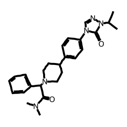 CC(C)n1ncn(-c2ccc(C3CCN(C(C(=O)N(C)C)c4ccccc4)CC3)cc2)c1=O